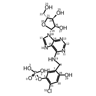 O=P(O)(O)Oc1cc(CNc2ncnc3c2ncn3[C@@H]2O[C@H](CO)[C@@H](O)[C@H]2O)c(O)cc1Cl